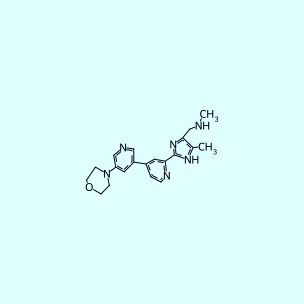 CNCc1nc(-c2cc(-c3cncc(N4CCOCC4)c3)ccn2)[nH]c1C